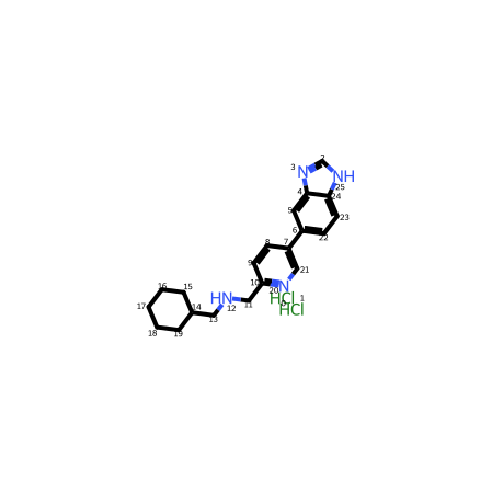 Cl.Cl.c1nc2cc(-c3ccc(CNCC4CCCCC4)nc3)ccc2[nH]1